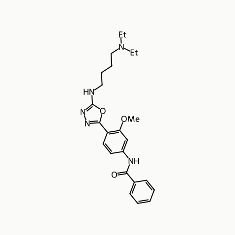 CCN(CC)CCCCNc1nnc(-c2ccc(NC(=O)c3ccccc3)cc2OC)o1